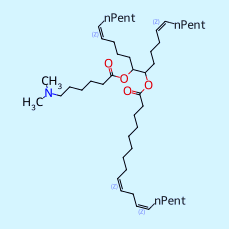 CCCCC/C=C\C/C=C\CCCCCCCC(=O)OC(CCC/C=C\CCCCC)C(CCC/C=C\CCCCC)OC(=O)CCCCCN(C)C